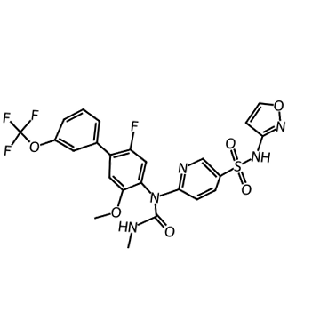 CNC(=O)N(c1ccc(S(=O)(=O)Nc2ccon2)cn1)c1cc(F)c(-c2cccc(OC(F)(F)F)c2)cc1OC